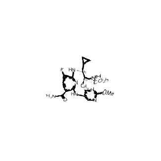 COc1ncc(Nc2nc(N[C@H](C3CC3)[C@H](C)NC(=O)O)c(F)cc2C(N)=O)cn1